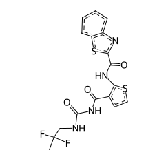 CC(F)(F)CNC(=O)NC(=O)c1ccsc1NC(=O)c1nc2ccccc2s1